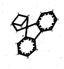 [c]1ccc2c(c1)C1(CC3CC1C3)c1c[c]ccc1-2